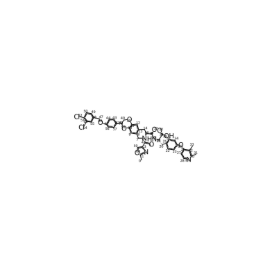 Cc1nc(C(=O)N2Cc3cc4c(cc3C[C@H]2C(=O)N[C@@H](Cc2ccc(Oc3ccnc(C)c3C)cc2)C(=O)O)OC[C@H](c2ccc(OCc3ccc(Cl)c(Cl)c3)cc2)O4)co1